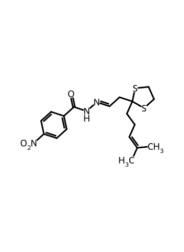 CC(C)=CCCC1(C/C=N/NC(=O)c2ccc([N+](=O)[O-])cc2)SCCS1